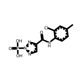 Cc1ccc(NC(=O)c2cnn(P(=O)(O)O)n2)c(Cl)c1